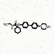 N#CCNC(=O)C1(Nc2ccc(-c3ccc(N4CCNCC4)cc3)cc2)CCCCC1